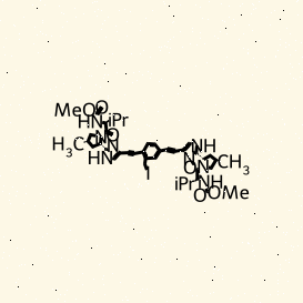 COC(=O)N[C@H](C(=O)N1C[C@@H](C)C[C@H]1c1nc(C#Cc2ccc(C#Cc3c[nH]c([C@@H]4C[C@H](C)CN4C(=O)[C@@H](NC(=O)OC)C(C)C)n3)c(CI)c2)c[nH]1)C(C)C